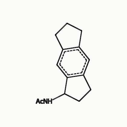 CC(=O)NC1CCc2cc3c(cc21)CCC3